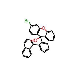 OC1(c2ccccc2-c2cccc3ccccc23)c2ccccc2Oc2cc(Br)ccc21